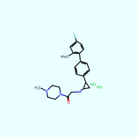 COc1cc(F)ccc1-c1ccc(C2CC2NCC(=O)N2CCN(C)CC2)cc1.Cl.Cl